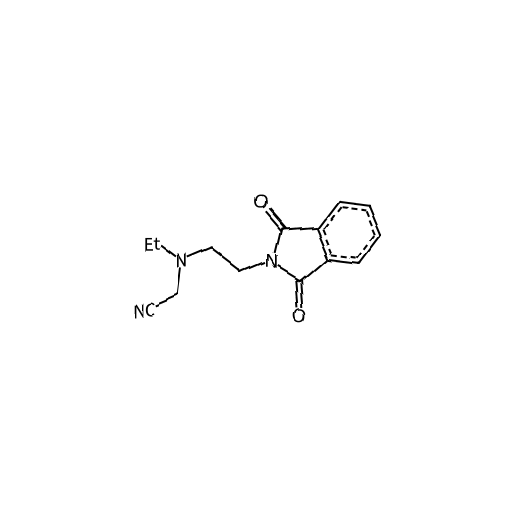 CCN(CC#N)CCN1C(=O)c2ccccc2C1=O